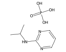 CC(C)Nc1ncccn1.O=P(O)(O)O